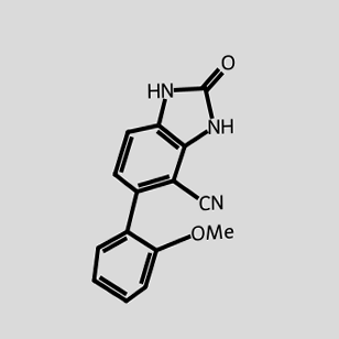 COc1ccccc1-c1ccc2[nH]c(=O)[nH]c2c1C#N